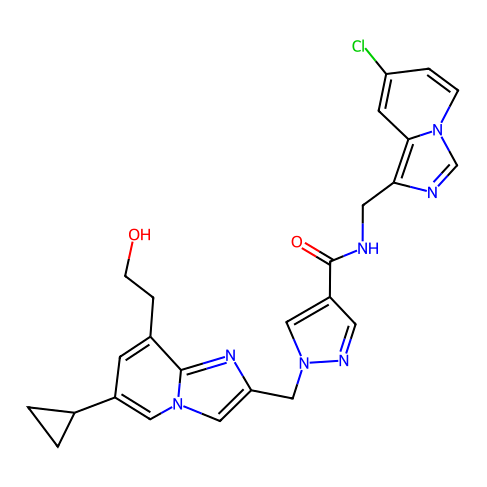 O=C(NCc1ncn2ccc(Cl)cc12)c1cnn(Cc2cn3cc(C4CC4)cc(CCO)c3n2)c1